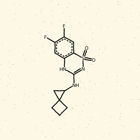 O=S1(=O)N=C(NC2CC23CCC3)Nc2cc(F)c(F)cc21